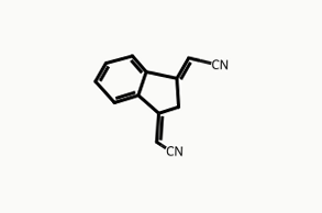 N#CC=C1CC(=CC#N)c2ccccc21